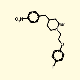 Br.O=[N+]([O-])c1ccc(CC2CCN(CCOc3ccc(F)cc3)CC2)cc1